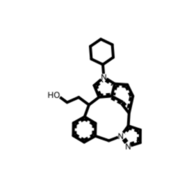 OCCC1c2cccc(c2)Cn2nccc2-c2ccc3c(c2)c1cn3C1CCCCC1